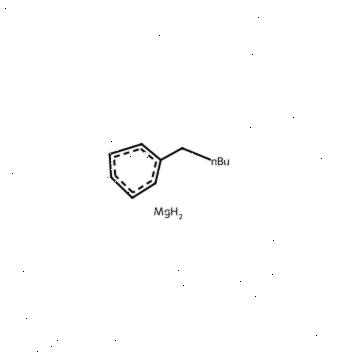 CCCCCc1cc[c]cc1.[MgH2]